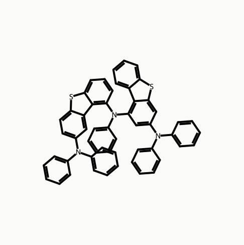 c1ccc(N(c2ccccc2)c2cc(N(c3ccccc3)c3cccc4sc5ccc(N(c6ccccc6)c6ccccc6)cc5c34)c3c(c2)sc2ccccc23)cc1